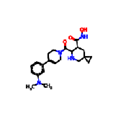 CN(C)c1cccc(C2=CCN(C(=O)C3NCC4(CC4)CC3C(=O)NO)CC2)c1